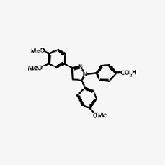 COc1ccc(C2CC(c3ccc(OC)c(OC)c3)=NN2c2ccc(C(=O)O)cc2)cc1